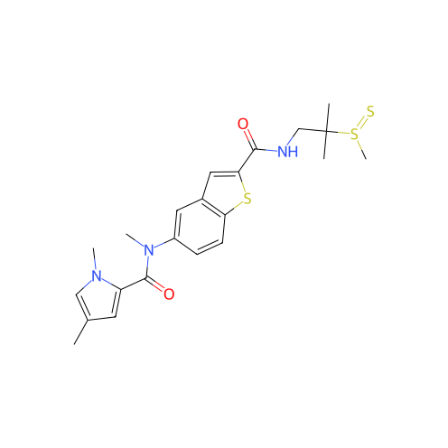 Cc1cc(C(=O)N(C)c2ccc3sc(C(=O)NCC(C)(C)S(C)=S)cc3c2)n(C)c1